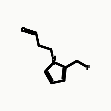 O=CCC[SH]1C=CC=C1CF